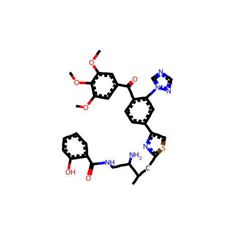 COc1cc(C(=O)c2ccc(-c3csc(CC(C)C(N)CNC(=O)c4ccccc4O)n3)cc2-n2cncn2)cc(OC)c1OC